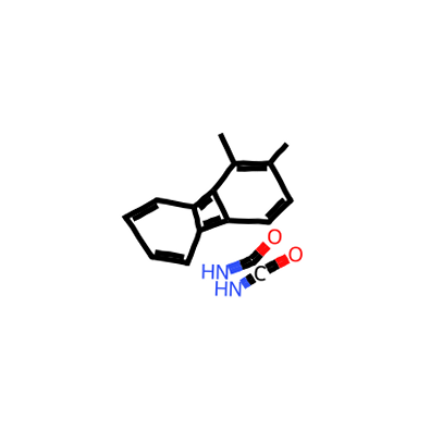 Cc1ccc2c(c1C)=c1ccccc1=2.N=C=O.N=C=O